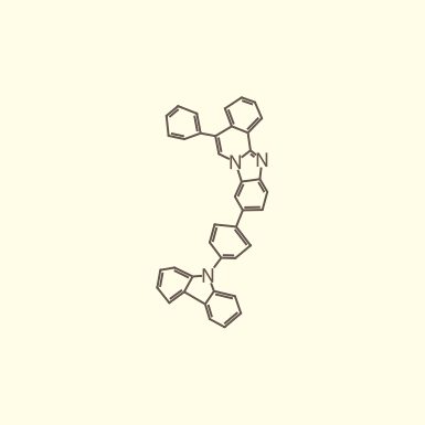 c1ccc(-c2cn3c4cc(-c5ccc(-n6c7ccccc7c7ccccc76)cc5)ccc4nc3c3ccccc23)cc1